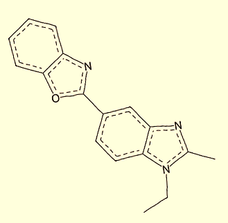 CCn1c(C)nc2cc(-c3nc4ccccc4o3)ccc21